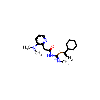 C=C(S/C(=N\C)NC(=O)Cc1ncccc1N(C)C)C1CCCCC1